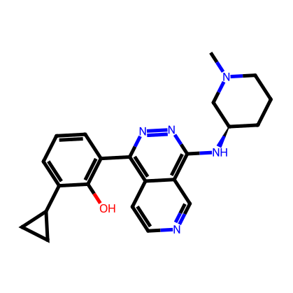 CN1CCC[C@@H](Nc2nnc(-c3cccc(C4CC4)c3O)c3ccncc23)C1